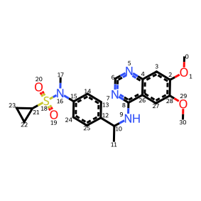 COc1cc2ncnc(NC(C)c3ccc(N(C)S(=O)(=O)C4CC4)cc3)c2cc1OC